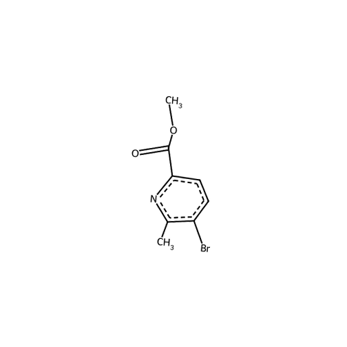 COC(=O)c1ccc(Br)c(C)n1